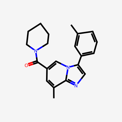 Cc1cccc(-c2cnc3c(C)cc(C(=O)N4CCCCC4)cn23)c1